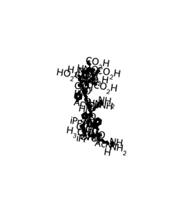 CC(=O)c1ccc(C[C@H](NC(=O)C(CCC(=O)O)NC(=O)[C@@H](CCC(=O)O)NC(=O)C(CCC(=O)O)NC(=O)[C@@H](CCC(=O)O)NC(=O)[C@H](N)CCC(=O)O)C(=O)NCCOCC(=O)N[C@@H](CCCNC(=N)N)C(=O)N2CCC[C@H]2C(=O)N[C@@H](CC(C)C)C(=O)N[C@@H](C)C(=O)N[C@@H](CC(C)C)C(=O)N[C@@H](Cc2c[nH]c3ccccc23)C(=O)N[C@@H](CCCNC(=N)N)C(C)=O)cc1